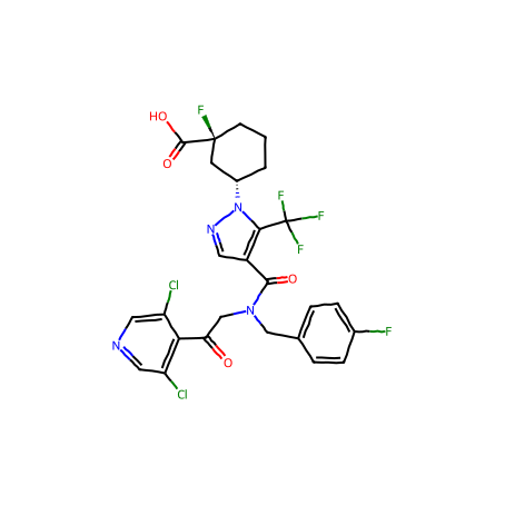 O=C(CN(Cc1ccc(F)cc1)C(=O)c1cnn([C@H]2CCC[C@@](F)(C(=O)O)C2)c1C(F)(F)F)c1c(Cl)cncc1Cl